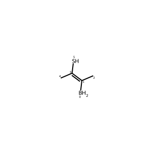 B/C(C)=C(\C)S